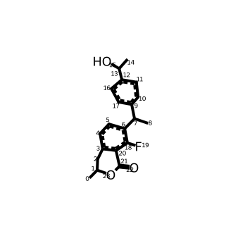 CC1Cc2ccc(C(C)c3ccc(C(C)O)cc3)c(F)c2C(=O)O1